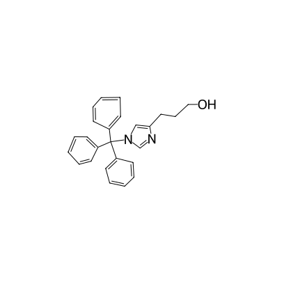 OCCCc1cn(C(c2ccccc2)(c2ccccc2)c2ccccc2)cn1